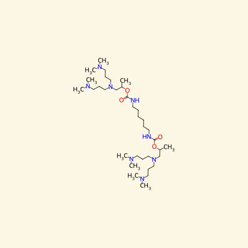 CC(CN(CCCN(C)C)CCCN(C)C)OC(=O)NCCCCCCNC(=O)OC(C)CN(CCCN(C)C)CCCN(C)C